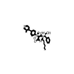 CCCCCc1nc(=O)c(S(=O)(=O)c2ccc(-c3ccncc3C)cc2)c(O)n1[C@@H](CO)c1ccccc1